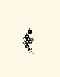 C=CC(=O)N1CCC(C(C)c2ncnc(N)c2/C(=N\C)c2ccc(Oc3cccc(F)c3)cc2F)C1